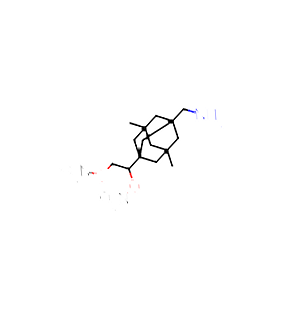 CC12CC3(C)CC(CN)(C1)CC(C(CO[N+](=O)[O-])O[N+](=O)[O-])(C2)C3